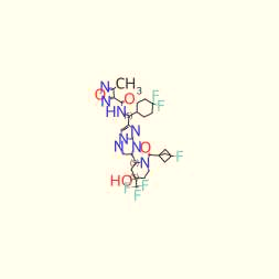 Cc1nonc1C(=O)N[C@H](c1cn2ncc([C@@H]3C[C@](O)(C(F)(F)F)CCN3C(=O)C34CC(F)(C3)C4)nc2n1)C1CCC(F)(F)CC1